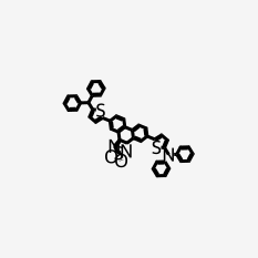 O=S1(=O)N=c2c(c3cc(-c4ccc(N(c5ccccc5)c5ccccc5)s4)ccc3c3ccc(-c4ccc(C(c5ccccc5)c5ccccc5)s4)cc23)=N1